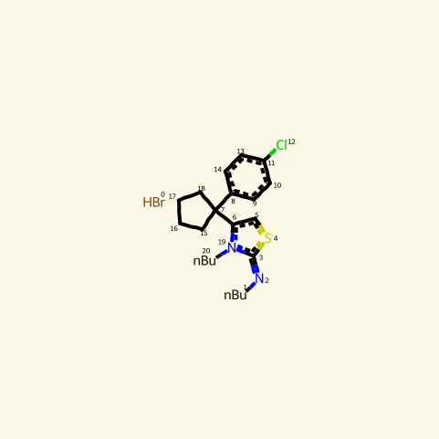 Br.CCCCN=c1scc(C2(c3ccc(Cl)cc3)CCCC2)n1CCCC